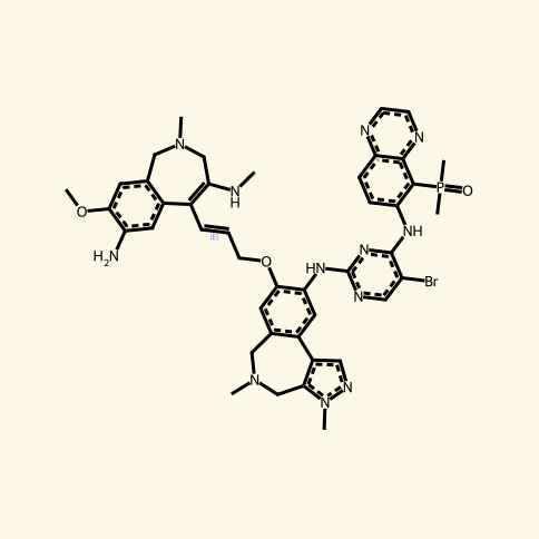 CNC1=C(/C=C/COc2cc3c(cc2Nc2ncc(Br)c(Nc4ccc5nccnc5c4P(C)(C)=O)n2)-c2cnn(C)c2CN(C)C3)c2cc(N)c(OC)cc2CN(C)C1